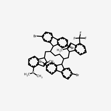 CC1=Cc2c(cccc2N(C)C)C1CC(CCC(CC1C(C)=Cc2c1cccc2C(F)(F)F)C1c2cc(Br)ccc2-c2ccc(Br)cc21)C1c2cc(Br)ccc2-c2ccc(Br)cc21